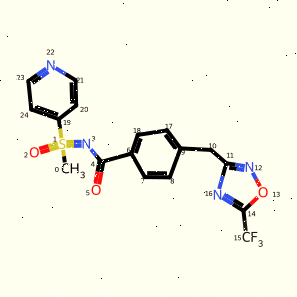 CS(=O)(=NC(=O)c1ccc(Cc2noc(C(F)(F)F)n2)cc1)c1ccncc1